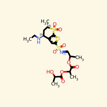 CCN[C@H]1C[C@H](C)S(=O)(=O)c2sc(S(=O)(=O)/N=C/C(C)OC(=O)C(C)OC(=O)C(C)O)cc21